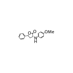 COc1ccc(N[C@@H]2CC(c3ccccc3)OC2=O)cc1